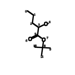 CCCC([O])C(=O)OC(C)(C)C